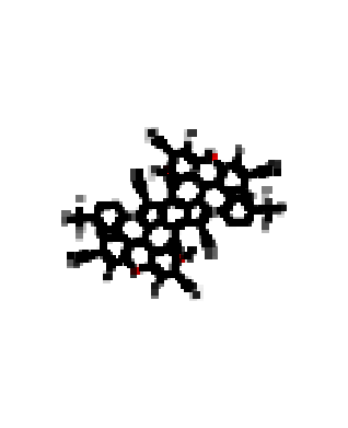 N#CC1=C(c2ccc(C(F)(F)F)cc2)C(C(c2c(F)c(F)c(C#N)c(F)c2F)c2c(F)c(F)c(C#N)c(F)c2F)c2c(C#N)c3c(c(C#N)c21)C(C(c1c(F)c(F)c(C#N)c(F)c1F)c1c(F)c(F)c(C#N)c(F)c1F)C(c1ccc(C(F)(F)F)cc1)=C3C#N